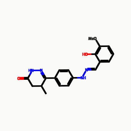 COc1cccc(C=NNc2ccc(C3=NNC(=O)CC3C)cc2)c1O